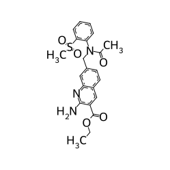 CCOC(=O)c1cc2ccc(CN(C(C)=O)c3ccccc3S(C)(=O)=O)cc2nc1N